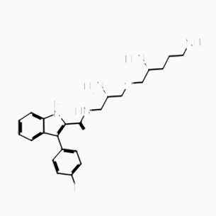 NCCC[C@H](N)COC[C@H](N)CNC(=O)c1[nH]c2ccccc2c1-c1ccc(F)cc1